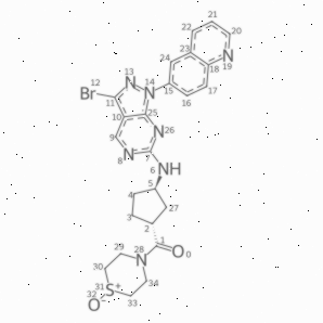 O=C([C@@H]1CC[C@@H](Nc2ncc3c(Br)nn(-c4ccc5ncccc5c4)c3n2)C1)N1CC[S+]([O-])CC1